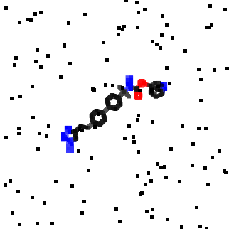 CC(C)(NC(=O)OC1CCN2CCC1CC2)c1ccc(-c2ccc(CCc3c[nH]nn3)cc2)cc1